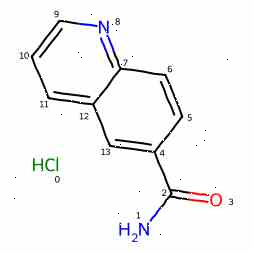 Cl.NC(=O)c1ccc2ncccc2c1